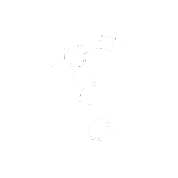 CC1[C@@H](c2cc(C(F)(F)F)cc(C(F)(F)F)c2)OC(=O)N1Cc1nc(N2CC(F)(F)C2)ncc1Br